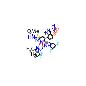 COCCNc1nc2nc([C@H](Cc3cc(F)cc(F)c3)NC(=O)Cn3nc(C(F)(F)F)c4c3C(F)(F)C3C[C@H]43)c(-c3cccc4c(NS(C)(=O)=O)nn(C)c34)cc2s1